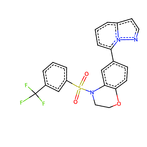 O=S(=O)(c1cccc(C(F)(F)F)c1)N1CCOc2ccc(-c3cccc4ccnn34)cc21